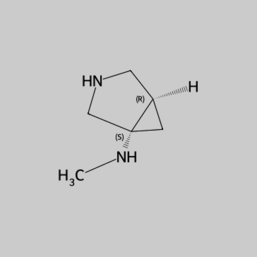 CN[C@]12CNC[C@H]1C2